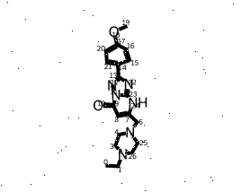 CCN1CCN(Cc2cc(=O)n3nc(-c4ccc(OC)cc4)nc3[nH]2)CC1